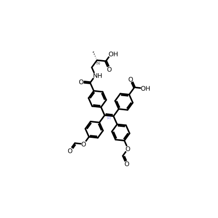 C[C@@H](CNC(=O)c1ccc(/C(=C(/c2ccc(OC=O)cc2)c2ccc(C(=O)O)cc2)c2ccc(OC=O)cc2)cc1)C(=O)O